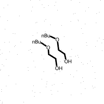 CCCCOCCO.CCCCOCCO